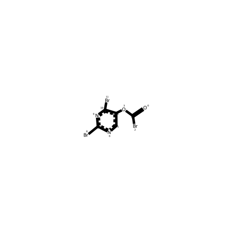 O=C(Br)Oc1cnc(Br)nc1Br